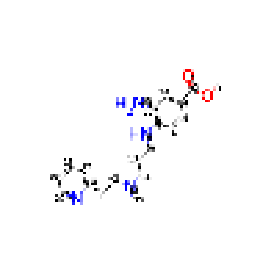 COC(=O)c1ccc(NCCCN(C)CCc2ccccn2)c(N)c1